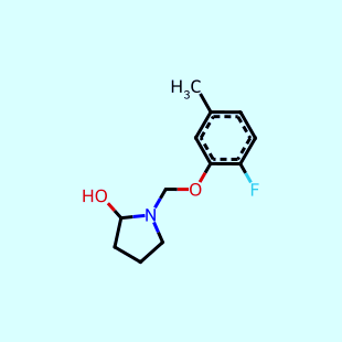 Cc1ccc(F)c(OCN2CCCC2O)c1